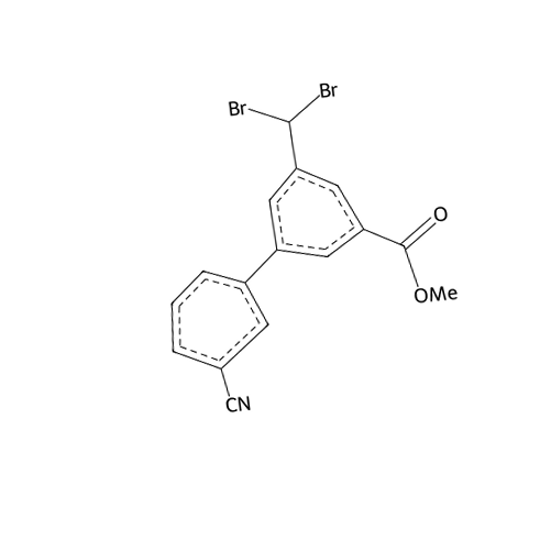 COC(=O)c1cc(-c2cccc(C#N)c2)cc(C(Br)Br)c1